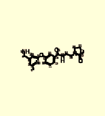 Cc1cc(CN)cc(Oc2cccc(C(=O)NCCN3CCOC3=O)c2)n1